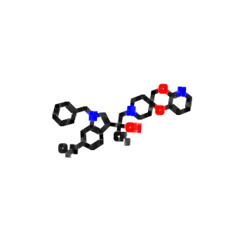 O=[N+]([O-])c1ccc2c(C(O)(CN3CCC4(CC3)COc3ncccc3O4)C(F)(F)F)cn(Cc3ccccc3)c2c1